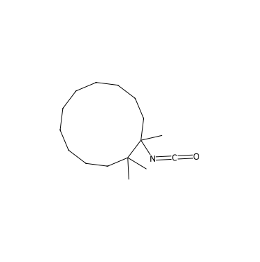 CC1(C)CCCCCCCCCCC1(C)N=C=O